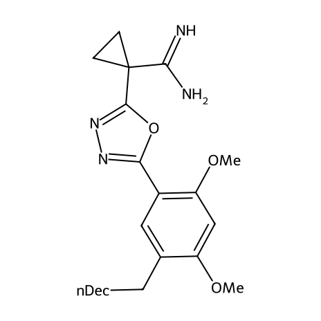 CCCCCCCCCCCc1cc(-c2nnc(C3(C(=N)N)CC3)o2)c(OC)cc1OC